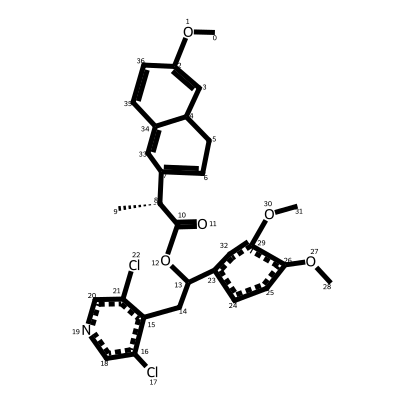 COC1=CC2CC=C([C@@H](C)C(=O)OC(Cc3c(Cl)cncc3Cl)c3ccc(OC)c(OC)c3)C=C2C=C1